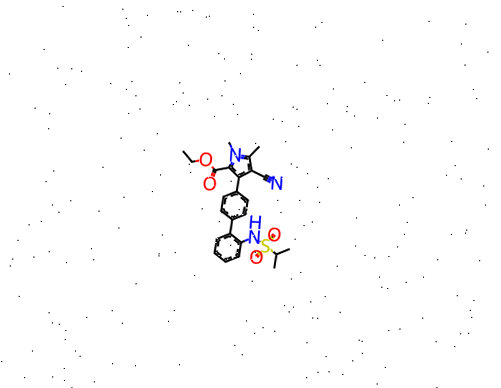 CCOC(=O)c1c(-c2ccc(-c3ccccc3NS(=O)(=O)C(C)C)cc2)c(C#N)c(C)n1C